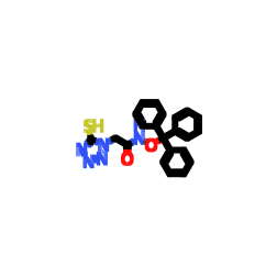 O=C(Cn1nnnc1S)NOC(c1ccccc1)(c1ccccc1)c1ccccc1